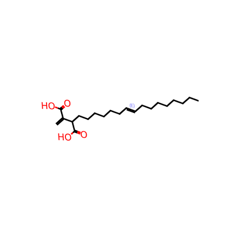 C=C(C(=O)O)C(CCCCCC/C=C/CCCCCCCC)C(=O)O